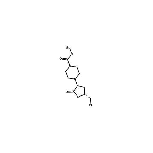 CC(C)(C)OC(=O)N1CCN(N2C[C@H](CO)OC2=O)CC1